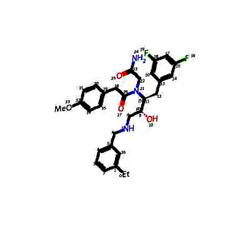 CCc1cccc(CNC[C@@H](O)[C@H](Cc2cc(F)cc(F)c2)N(CC(N)=O)C(=O)Cc2ccc(OC)cc2)c1